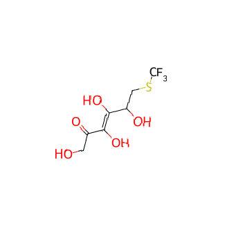 O=C(CO)/C(O)=C(\O)C(O)CSC(F)(F)F